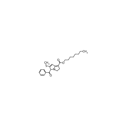 CCCCCCCCOC(=O)C1=C2C=C(SC)C(C(=O)c3ccccc3)N2CC1